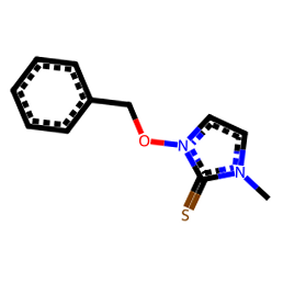 Cn1ccn(OCc2ccccc2)c1=S